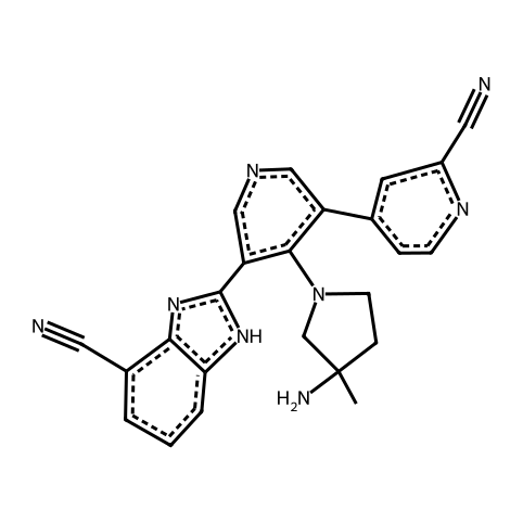 CC1(N)CCN(c2c(-c3ccnc(C#N)c3)cncc2-c2nc3c(C#N)cccc3[nH]2)C1